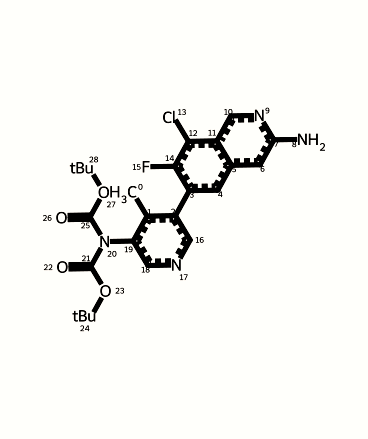 Cc1c(-c2cc3cc(N)ncc3c(Cl)c2F)cncc1N(C(=O)OC(C)(C)C)C(=O)OC(C)(C)C